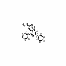 N=C(N)/N=c1\[nH]cc(-c2ccccc2)cc1-c1ccccc1